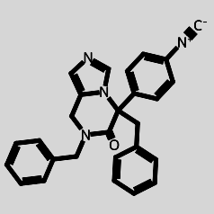 [C-]#[N+]c1ccc(C2(Cc3ccccc3)C(=O)N(Cc3ccccc3)Cc3cncn32)cc1